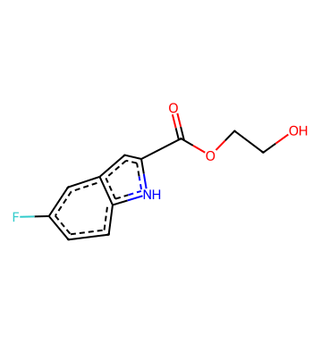 O=C(OCCO)c1cc2cc(F)ccc2[nH]1